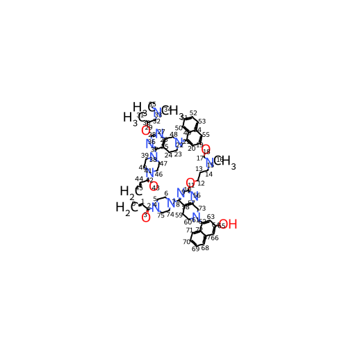 C=CC(=O)N1CCN(c2nc(OCCCN(C)COc3cc(N4CCc5c(nc(OC(C)CN(C)C)nc5N5CCN(C(=O)C=C)CC5)C4)c4ccccc4c3)nc3c2CCN(c2cc(O)cc4ccccc24)C3)CC1